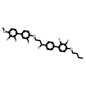 CCCCOc1ccc(-c2ccc(C(F)CCOc3ccc(-c4ccc(OC)c(F)c4F)cc3F)cc2)c(F)c1F